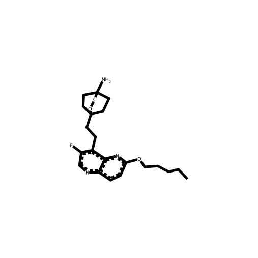 CCCCCOc1ccc2ncc(F)c(CCC34CCC(N)(CC3)CO4)c2n1